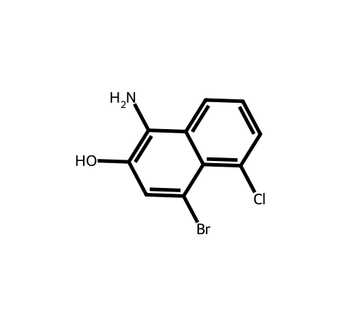 Nc1c(O)cc(Br)c2c(Cl)cccc12